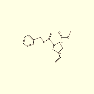 C=C[C@@H]1C[C@@H](C(=O)OC)N(C(=O)OCc2ccccc2)C1